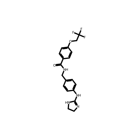 O=C(NCc1ccc(NC2=NCCN2)cc1)c1ccc(OCC(F)(F)F)cc1